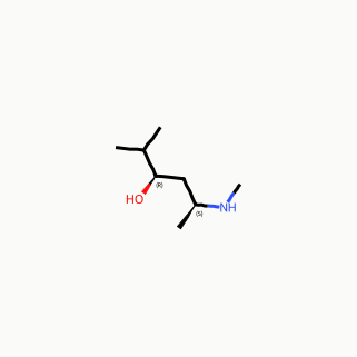 CN[C@@H](C)C[C@@H](O)C(C)C